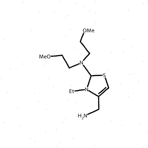 CCN1C(CN)=CSC1N(CCOC)CCOC